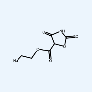 O=C1NC(=O)C(C(=O)OC[CH2][Na])O1